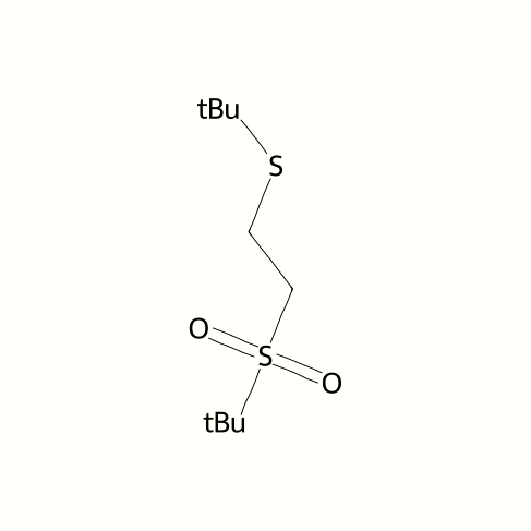 CC(C)(C)SCCS(=O)(=O)C(C)(C)C